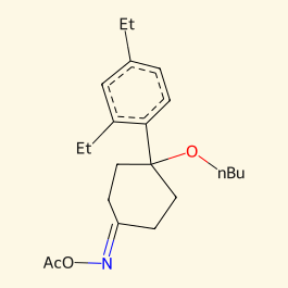 CCCCOC1(c2ccc(CC)cc2CC)CCC(=NOC(C)=O)CC1